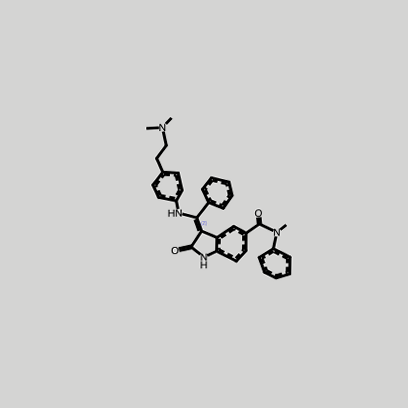 CN(C)CCc1ccc(N/C(=C2\C(=O)Nc3ccc(C(=O)N(C)c4ccccc4)cc32)c2ccccc2)cc1